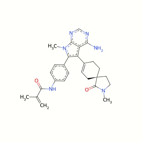 C=C(C)C(=O)Nc1ccc(-c2c(C3=CC[C@@]4(CC3)CCN(C)C4=O)c3c(N)ncnc3n2C)cc1